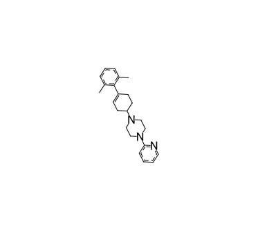 Cc1cccc(C)c1C1=CCC(N2CCN(c3ccccn3)CC2)CC1